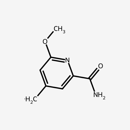 [CH2]c1cc(OC)nc(C(N)=O)c1